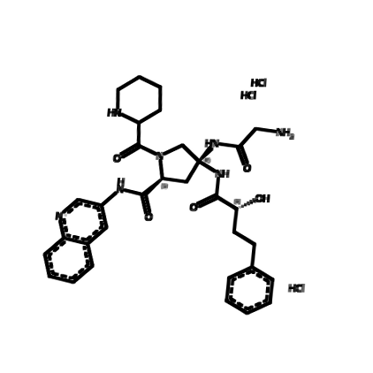 Cl.Cl.Cl.NCC(=O)N[C@@]1(NC(=O)[C@H](O)CCc2ccccc2)C[C@@H](C(=O)Nc2cnc3ccccc3c2)N(C(=O)C2CCCCN2)C1